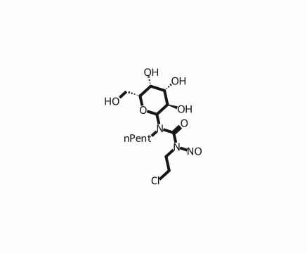 CCCCCN(C(=O)N(CCCl)N=O)C1O[C@H](CO)[C@H](O)[C@H](O)[C@H]1O